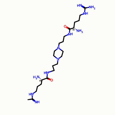 CC(=N)NCCC[C@H](N)C(=O)NCCCN1CCN(CCCNC(=O)[C@@H](N)CCCNC(=N)N)CC1